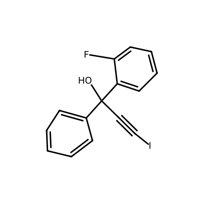 OC(C#CI)(c1ccccc1)c1ccccc1F